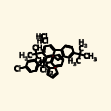 Cl.Cl.[CH2]=[Zr]([C]1=CC=CC1)([c]1ccccc1)([c]1ccc(Cl)cc1)[c]1c(C(C)(C)C)ccc2c1Cc1cc(C(C)(C)C)ccc1-2